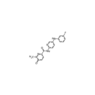 Cn1nc(C(=O)Nc2ccc(Nc3cccc(F)c3)cn2)ccc1=O